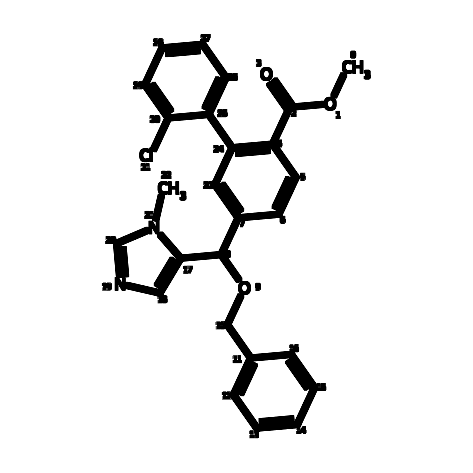 COC(=O)c1ccc(C(OCc2ccccc2)c2cncn2C)cc1-c1ccccc1Cl